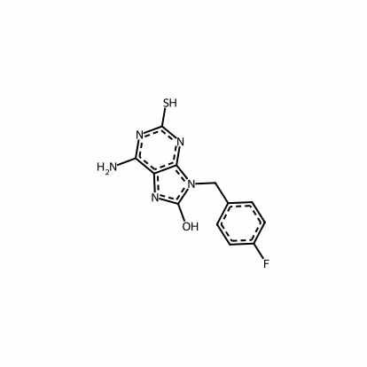 Nc1nc(S)nc2c1nc(O)n2Cc1ccc(F)cc1